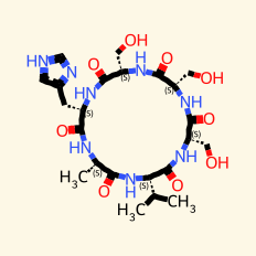 CC(C)[C@@H]1NC(=O)[C@H](C)NC(=O)[C@H](Cc2c[nH]cn2)NC(=O)[C@H](CO)NC(=O)[C@H](CO)NC(=O)[C@H](CO)NC1=O